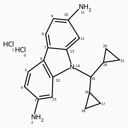 Cl.Cl.Nc1ccc2c3ccc(N)cc3n(C(C3CC3)C3CC3)c2c1